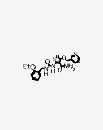 CCOc1ccccc1CNC(=O)Nc1snc(OCc2cccnc2)c1C(N)=O